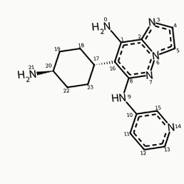 Nc1c2nccn2nc(Nc2cccnc2)c1[C@H]1CC[C@H](N)CC1